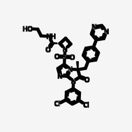 C[C@@]1(Cc2ccc(-c3cncnc3)cc2)C(=O)N(c2cc(Cl)cc(Cl)c2)c2ncc(S(=O)(=O)N3CC[C@H]3C(=O)NCCO)n21